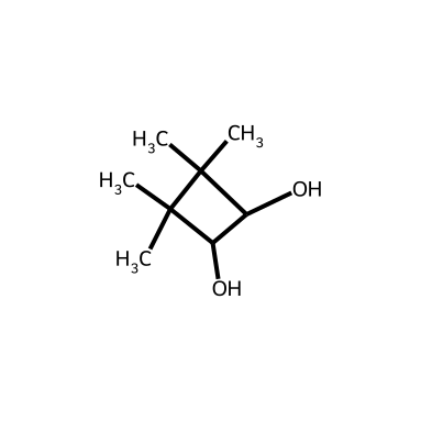 CC1(C)C(O)C(O)C1(C)C